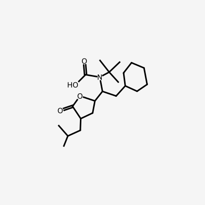 CC(C)CC1CC(C(CC2CCCCC2)N(C(=O)O)C(C)(C)C)OC1=O